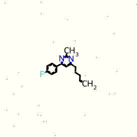 C=CCCCc1cc(-c2ccc(F)cc2)nc(C)n1